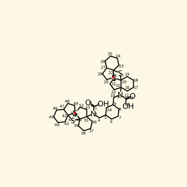 O=C(O)N(CC1CCCC(CN(C(=O)O)C23CCCCC2(SC24CCCCC2CCS4)SCC3)C1)C12CCCCC1(SC13CCCCC1CCS3)SCC2